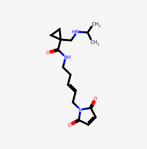 CC(C)NCC1(C(=O)NCC/C=C/CN2C(=O)C=CC2=O)CC1